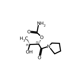 C[C@@H](O)[C@H](OC(N)=O)C(=O)N1CCCC1